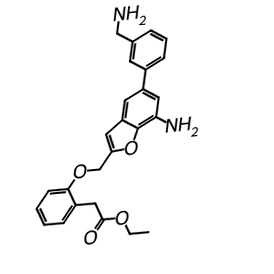 CCOC(=O)Cc1ccccc1OCc1cc2cc(-c3cccc(CN)c3)cc(N)c2o1